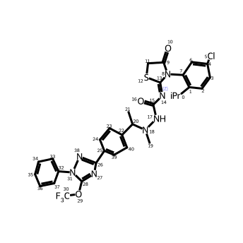 CC(C)c1ccc(Cl)cc1N1C(=O)CS/C1=N\C(=O)NN(C)C(C)c1ccc(-c2nc(OC(F)(F)F)n(-c3ccccc3)n2)cc1